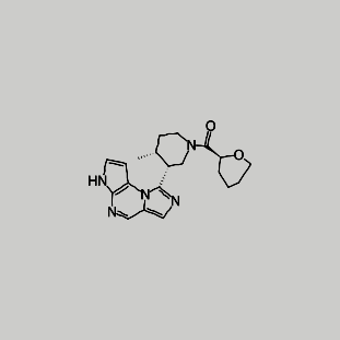 C[C@@H]1CCN(C(=O)[C@@H]2CCCCO2)C[C@@H]1c1ncc2cnc3[nH]ccc3n12